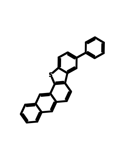 c1ccc(-c2ccc3sc4c5cc6ccccc6cc5ccc4c3c2)cc1